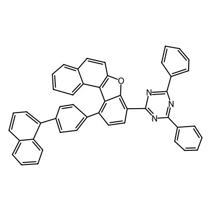 c1ccc(-c2nc(-c3ccccc3)nc(-c3ccc(-c4ccc(-c5cccc6ccccc56)cc4)c4c3oc3ccc5ccccc5c34)n2)cc1